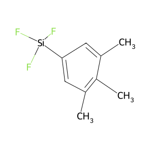 Cc1cc([Si](F)(F)F)cc(C)c1C